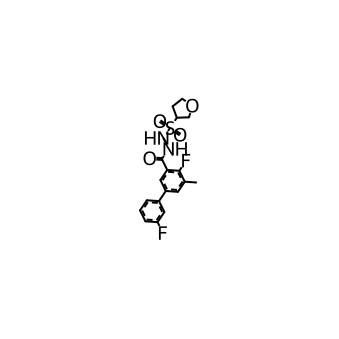 Cc1cc(-c2cccc(F)c2)cc(C(=O)NNS(=O)(=O)C2CCOC2)c1F